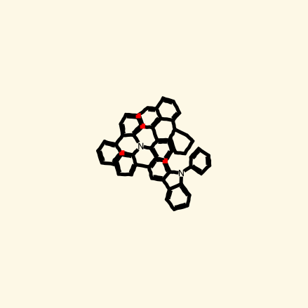 c1ccc(-c2ccccc2N(c2ccccc2-c2ccc3c(c2)c2ccccc2n3-c2ccccc2)c2ccccc2-c2cccc3cccc(C4CCCCC4)c23)cc1